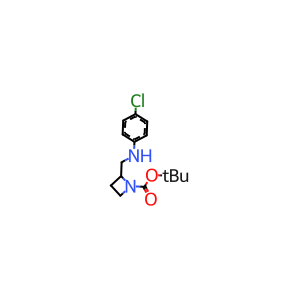 CC(C)(C)OC(=O)N1CCC1CNc1ccc(Cl)cc1